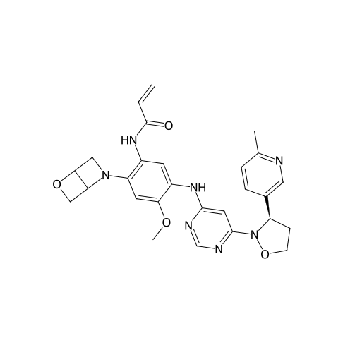 C=CC(=O)Nc1cc(Nc2cc(N3OCC[C@@H]3c3ccc(C)nc3)ncn2)c(OC)cc1N1CC2OCC21